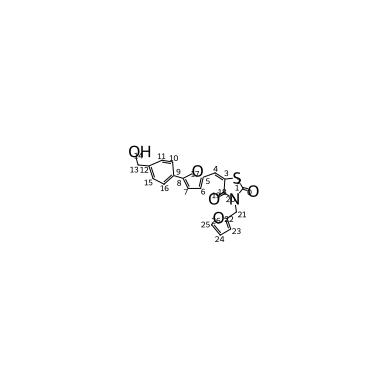 O=C1S/C(=C/c2ccc(-c3ccc(CO)cc3)o2)C(=O)N1Cc1ccco1